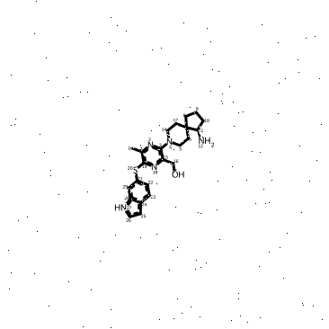 Cc1nc(N2CCC3(CCC[C@H]3N)CC2)c(CO)nc1Sc1ccc2cc[nH]c2c1